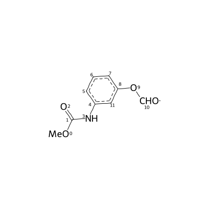 COC(=O)Nc1cccc(O[C]=O)c1